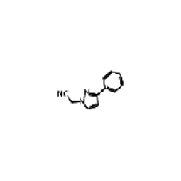 N#CCn1ccc(-c2ccccc2)n1